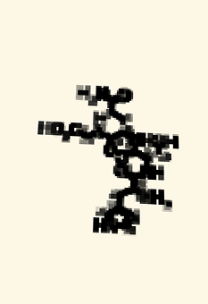 NC(=O)CC[C@H](NC(=O)[C@H](CO)NC(=O)[C@@H](N)Cc1c[nH]cn1)C(=O)NCC(=O)O